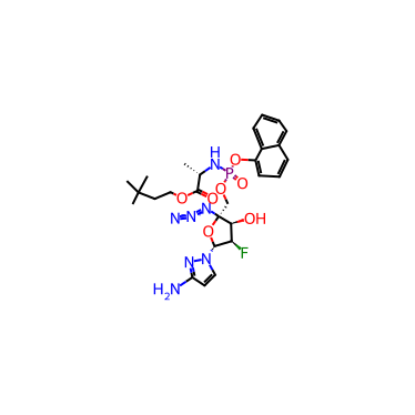 C[C@H](NP(=O)(OC[C@@]1(N=[N+]=[N-])O[C@@H](n2ccc(N)n2)[C@H](F)[C@@H]1O)Oc1cccc2ccccc12)C(=O)OCCC(C)(C)C